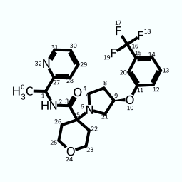 CC(NC(=O)C1(N2CC[C@@H](Oc3cccc(C(F)(F)F)c3)C2)CCOCC1)c1ccccn1